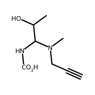 C#CCN(C)C(NC(=O)O)C(C)O